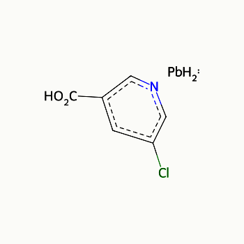 O=C(O)c1cncc(Cl)c1.[PbH2]